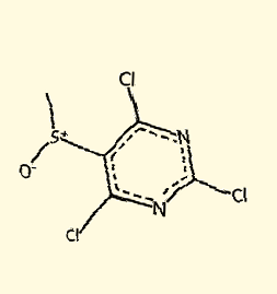 C[S+]([O-])c1c(Cl)nc(Cl)nc1Cl